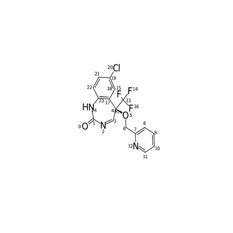 O=C1N=C[C@@](OCc2ccccn2)(C(F)(F)F)c2cc(Cl)ccc2N1